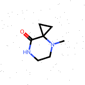 CN1CCNC(=O)C12CC2